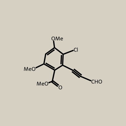 COC(=O)c1c(OC)cc(OC)c(Cl)c1C#CC=O